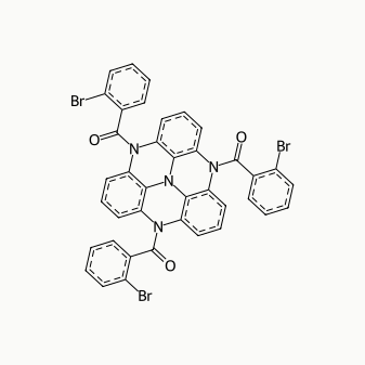 O=C(c1ccccc1Br)N1c2cccc3c2N2c4c1cccc4N(C(=O)c1ccccc1Br)c1cccc(c12)N3C(=O)c1ccccc1Br